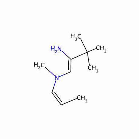 C/C=C\N(C)/C=C(\N)C(C)(C)C